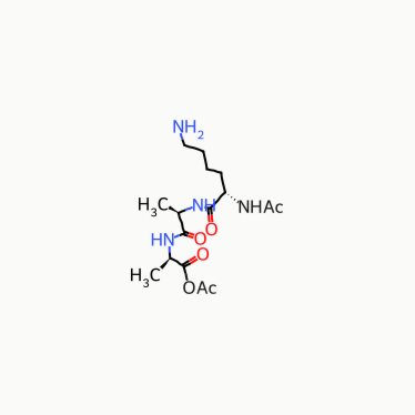 CC(=O)N[C@@H](CCCCN)C(=O)N[C@H](C)C(=O)N[C@H](C)C(=O)OC(C)=O